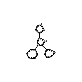 c1ccc(-c2cc(-c3ccsc3)[nH]c2-c2ccccc2)cc1